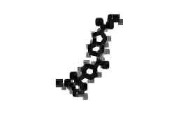 COC(=O)C1Cc2ccc(C(=O)c3ccc(S(=O)(=O)N(C)C)cc3)cc2C1